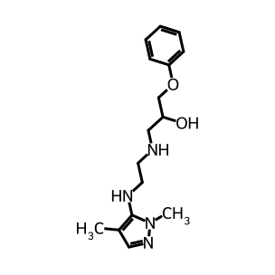 Cc1cnn(C)c1NCCNCC(O)COc1ccccc1